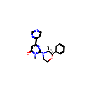 C[C@H]1[C@@H](C2C=CC=CC2)OCCN1c1nc(-c2ccncn2)cc(=O)n1C